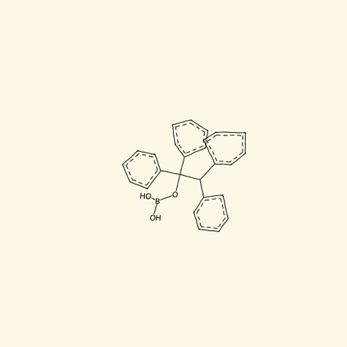 OB(O)OC(c1ccccc1)(c1ccccc1)C(c1ccccc1)c1ccccc1